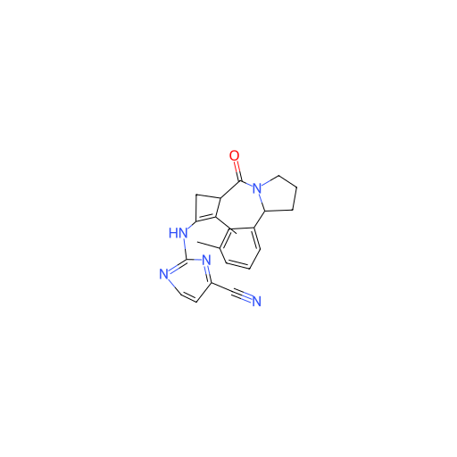 CC1=C(Nc2nccc(C#N)n2)CC1C(=O)N1CCCC1c1cccc(C)c1